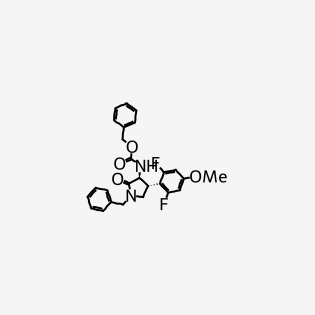 COc1cc(F)c([C@@H]2CN(Cc3ccccc3)C(=O)[C@H]2NC(=O)OCc2ccccc2)c(F)c1